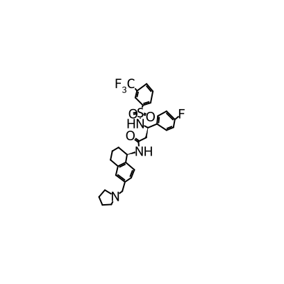 O=C(C[C@@H](NS(=O)(=O)c1cccc(C(F)(F)F)c1)c1ccc(F)cc1)N[C@@H]1CCCc2cc(CN3CCCC3)ccc21